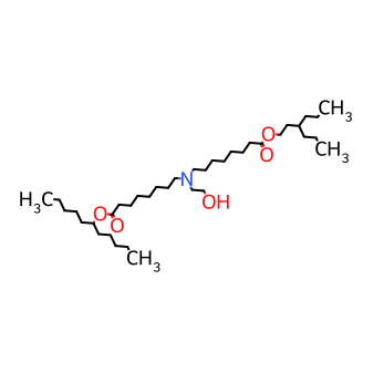 CCCCCC(CCCCC)OC(=O)CCCCCCCN(CCO)CCCCCCCC(=O)OCCC(CCC)CCC